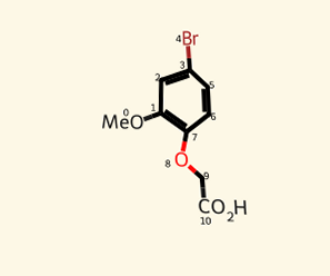 COc1cc(Br)ccc1OCC(=O)O